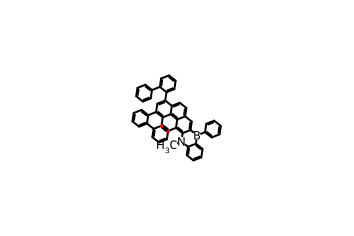 CN1c2ccccc2B(c2ccccc2)c2cc3ccc4c(-c5ccccc5-c5ccccc5)cc(-c5ccccc5-c5ccccc5)c5ccc(c21)c3c45